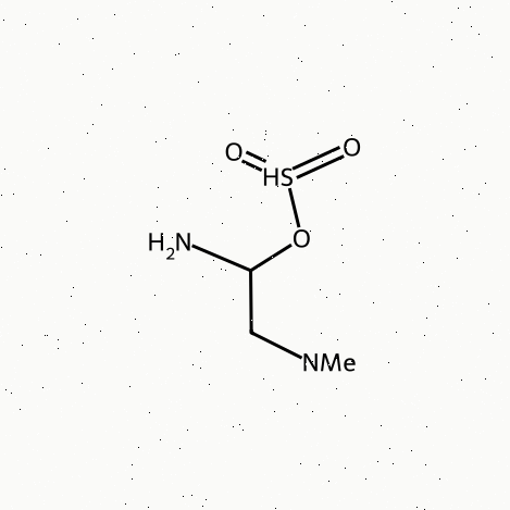 CNCC(N)O[SH](=O)=O